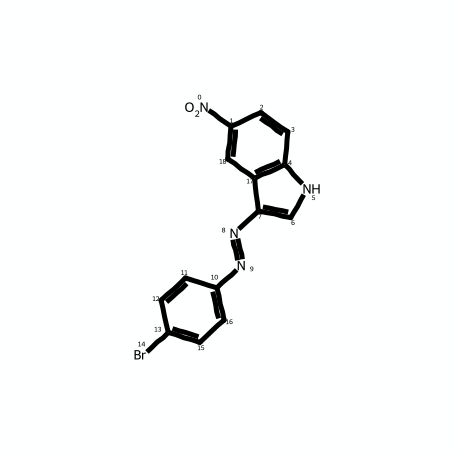 O=[N+]([O-])c1ccc2[nH]cc(/N=N/c3ccc(Br)cc3)c2c1